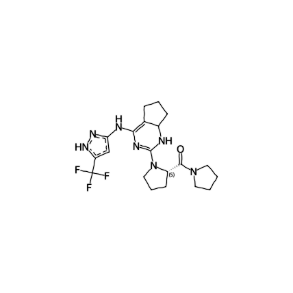 O=C([C@@H]1CCCN1C1=NC(Nc2cc(C(F)(F)F)[nH]n2)=C2CCCC2N1)N1CCCC1